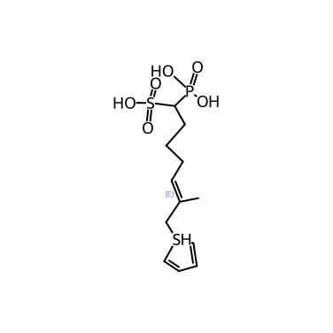 C/C(=C\CCCC(P(=O)(O)O)S(=O)(=O)O)C[SH]1C=CC=C1